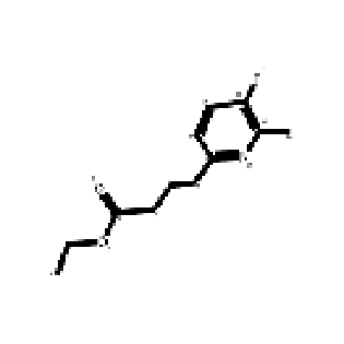 CCOC(=O)CCCc1ccc(F)c(C)n1